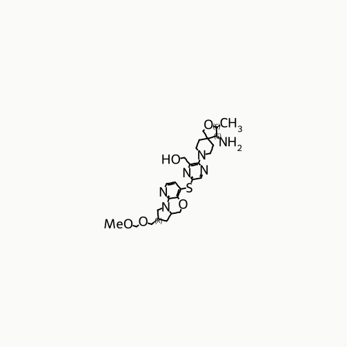 COCOC[C@@H]1CC2COc3c(Sc4cnc(N5CCC6(CC5)CO[C@@H](C)[C@H]6N)c(CO)n4)ccnc3N2C1